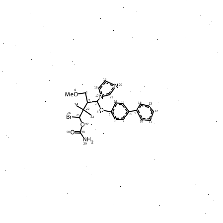 COCC(C(Oc1ccc(-c2ccccc2)cc1)n1ccnc1)C(C)(C)C(Br)OC(N)=O